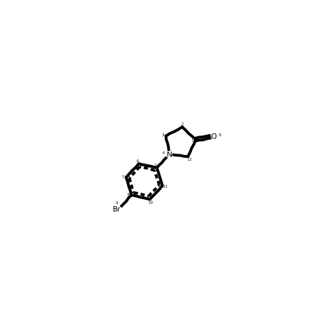 O=C1CCN(c2ccc(Br)cc2)C1